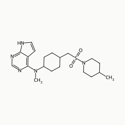 CC1CCN(S(=O)(=O)CC2CCC(N(C)c3ncnc4[nH]ccc34)CC2)CC1